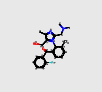 Cc1nc(CN(C)C)n(-c2c(C(=O)c3ccccc3F)cccc2C(F)(F)F)c1CO